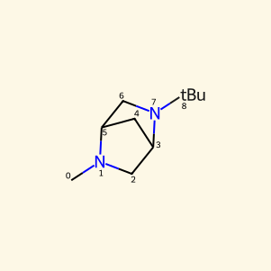 CN1CC2CC1CN2C(C)(C)C